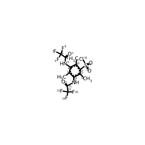 Cc1c(NC(=O)C(F)(F)F)c(C)c(S(=O)(=O)Cl)c(C)c1NC(=O)C(F)(F)F